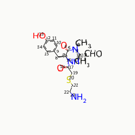 C[C@@H](C=O)N(C)C(=O)[C@H](Cc1ccc(O)cc1)NC(=O)CSCCN